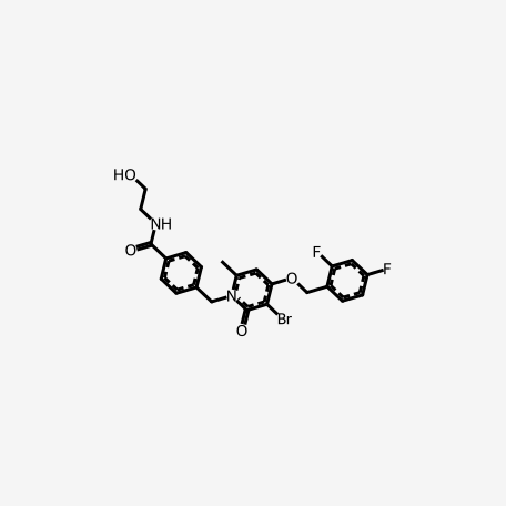 Cc1cc(OCc2ccc(F)cc2F)c(Br)c(=O)n1Cc1ccc(C(=O)NCCO)cc1